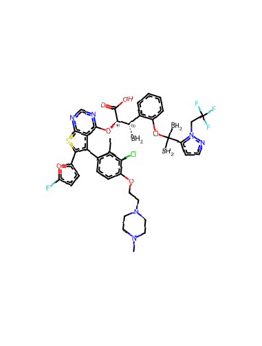 B[C@@H](c1ccccc1OC(B)(B)c1ccnn1CC(F)(F)F)[C@@H](Oc1ncnc2sc(-c3ccc(F)o3)c(-c3ccc(OCCN4CCN(C)CC4)c(Cl)c3C)c12)C(=O)O